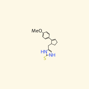 COc1ccc(C2=CCCC2Cc2c[nH]c(=S)[nH]2)cc1